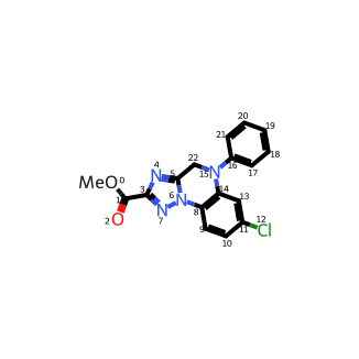 COC(=O)c1nc2n(n1)-c1ccc(Cl)cc1N(c1ccccc1)C2